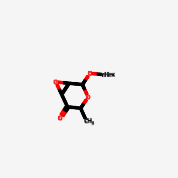 CCCCCCOC1OC(C)C(=O)C2OC12